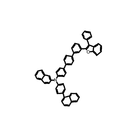 c1ccc(-c2c(-c3cccc(-c4ccc(-c5ccc(N(c6ccc(-c7cccc8ccccc78)cc6)c6ccc7ccccc7c6)cc5)cc4)c3)oc3ccccc23)cc1